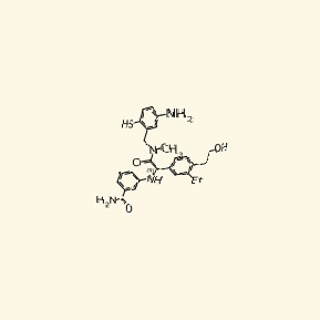 CCc1cc([C@@H](Nc2cccc(C(N)=O)c2)C(=O)N(C)Cc2cc(N)ccc2S)ccc1CCO